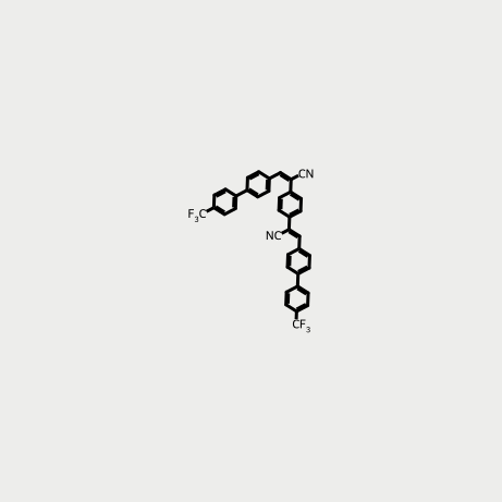 N#CC(=Cc1ccc(-c2ccc(C(F)(F)F)cc2)cc1)c1ccc(C(C#N)=Cc2ccc(-c3ccc(C(F)(F)F)cc3)cc2)cc1